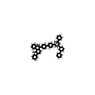 c1ccc(-c2cccc(-c3cc(-c4ccccc4)nc(-c4ccc(-c5ccc(-c6nc7ccccc7c7c6ccc6c8ccccc8sc67)cc5)cc4)n3)c2)cc1